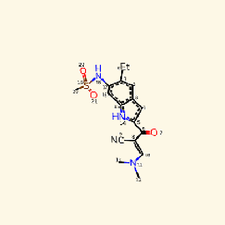 CCc1cc2cc(C(=O)/C(C#N)=C/N(C)C)[nH]c2cc1NS(C)(=O)=O